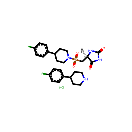 C[C@]1(CS(=O)(=O)N2CCC(c3ccc(F)cc3)CC2)NC(=O)NC1=O.Cl.Fc1ccc(C2CCNCC2)cc1